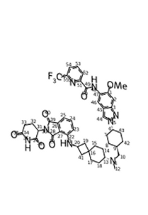 COc1cc2nn([C@H]3CC[C@H](CN(C)[C@H]4CCC5(CC4)C[C@H](Nc4cccc6c4C(=O)N(C4CCC(=O)NC4=O)C6=O)C5)CC3)cc2cc1NC(=O)c1cccc(C(F)(F)F)n1